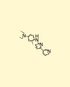 CCN(CC)c1ccc(Nc2nc(-c3cccnc3)cs2)c(C)c1